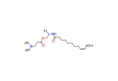 CCCCCCCC/C=C\CCCCCCCC(=O)NC(CC)COC(=O)CCN(CCC)CCC